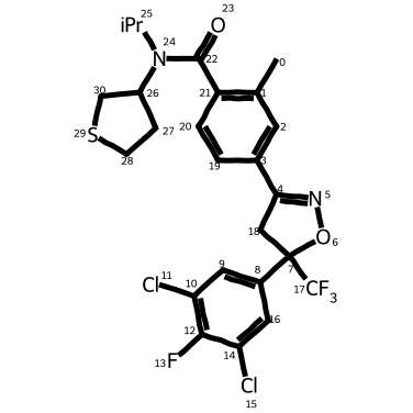 Cc1cc(C2=NOC(c3cc(Cl)c(F)c(Cl)c3)(C(F)(F)F)C2)ccc1C(=O)N(C(C)C)C1CCSC1